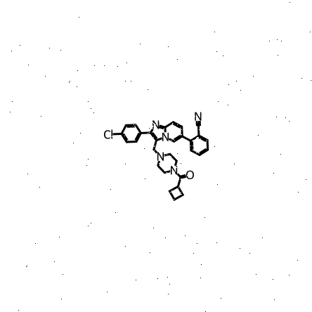 N#Cc1ccccc1-c1ccc2nc(-c3ccc(Cl)cc3)c(CN3CCN(C(=O)C4CCC4)CC3)n2c1